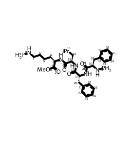 COC(=O)[C@@H](CCCCNP)NC(=O)[C@@H](CC(C)C)NC(=O)[C@@H](Cc1ccccc1)NC(=O)[C@@H](Cc1ccccc1)NP